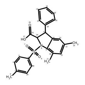 Cc1ccc(S(=O)(=O)N2c3c(C)cc(C)cc3C(c3ccccc3)C2C(=O)O)cc1